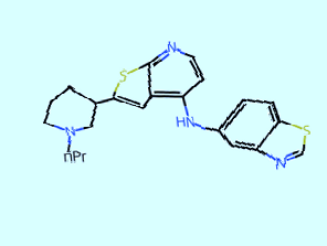 CCCN1CCCC(c2cc3c(Nc4ccc5scnc5c4)ccnc3s2)C1